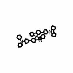 c1ccc(N(c2ccccc2)c2ccc(-c3ccc4c(c3)C3(c5ccccc5-c5ccc(-c6ccc(-n7c8ccccc8c8ccccc87)cc6)cc53)c3c-4oc4ccccc34)cc2)cc1